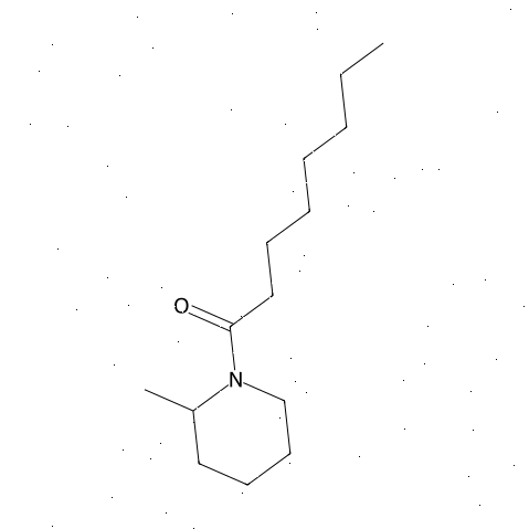 CCCCCCCC(=O)N1CCCCC1C